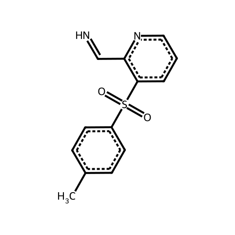 Cc1ccc(S(=O)(=O)c2cccnc2C=N)cc1